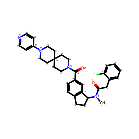 CN(C(=O)Cc1ccccc1Cl)C1CCc2ccc(C(=O)N3CCC4(CC3)CCN(c3ccncc3)CC4)cc21